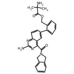 CC(C)(N)C(=O)OCc1ccccc1-c1ccc2nc(N)nc(C(=O)N3Cc4ccccc4C3)c2c1